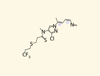 C=N/C=C\C=C(/C)n1cc(N(C)C(=S)CCSCCC(F)(F)F)c(Cl)n1